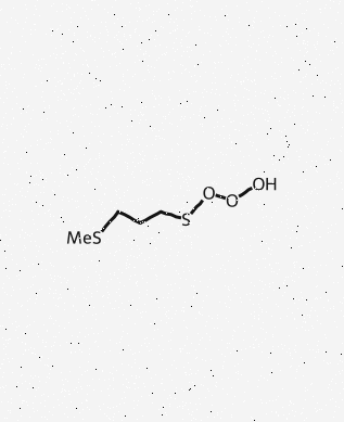 CSCCCSOOO